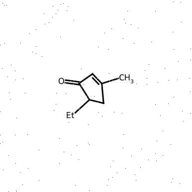 CCC1CC(C)=CC1=O